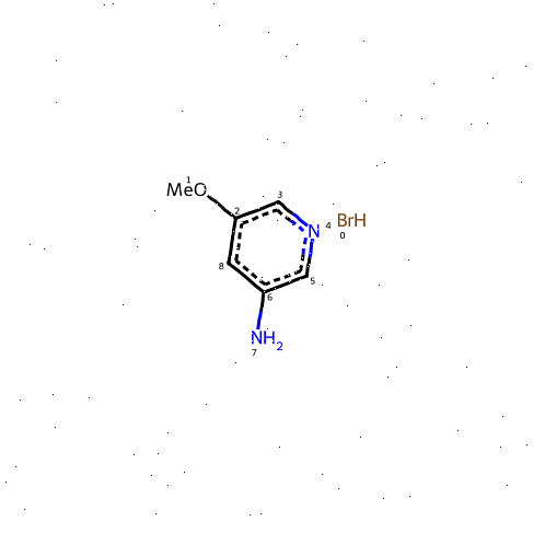 Br.COc1cncc(N)c1